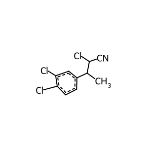 CC(c1ccc(Cl)c(Cl)c1)C(Cl)C#N